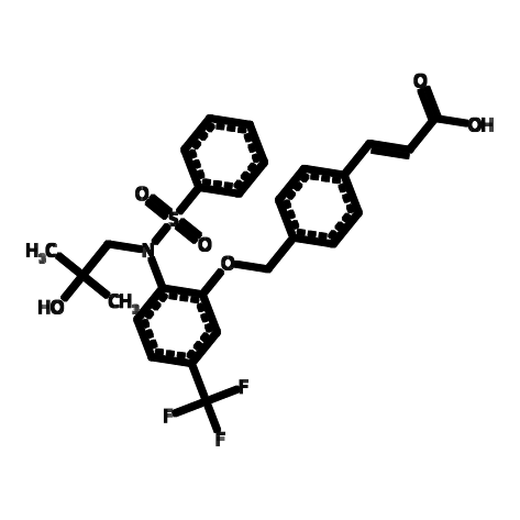 CC(C)(O)CN(c1ccc(C(F)(F)F)cc1OCc1ccc(/C=C/C(=O)O)cc1)S(=O)(=O)c1ccccc1